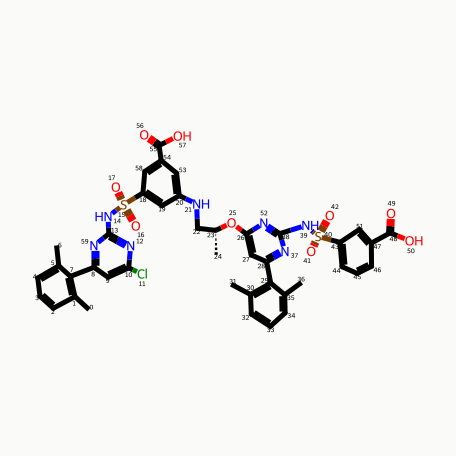 Cc1cccc(C)c1-c1cc(Cl)nc(NS(=O)(=O)c2cc(NC[C@@H](C)Oc3cc(-c4c(C)cccc4C)nc(NS(=O)(=O)c4cccc(C(=O)O)c4)n3)cc(C(=O)O)c2)n1